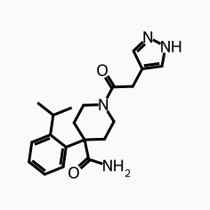 CC(C)c1ccccc1C1(C(N)=O)CCN(C(=O)Cc2cn[nH]c2)CC1